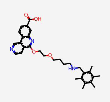 Cc1c(C)c(C)c(CNCCCCOCCOc2nc3cc(C(=O)O)ccc3c3cnccc23)c(C)c1C